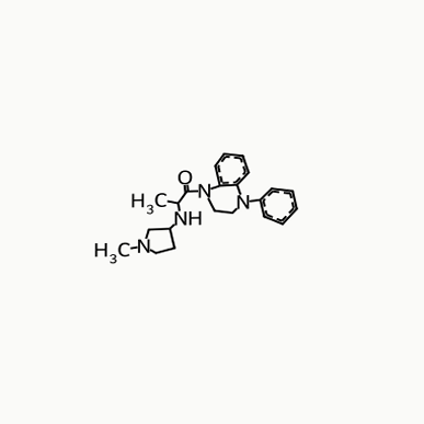 CC(NC1CCN(C)C1)C(=O)N1CCN(c2ccccc2)c2ccccc21